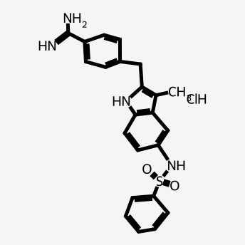 Cc1c(Cc2ccc(C(=N)N)cc2)[nH]c2ccc(NS(=O)(=O)c3ccccc3)cc12.Cl